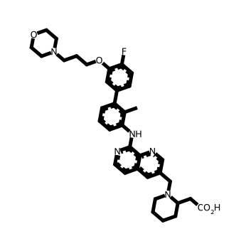 Cc1c(Nc2nccc3cc(CN4CCCCC4CC(=O)O)cnc23)cccc1-c1ccc(F)c(OCCCN2CCOCC2)c1